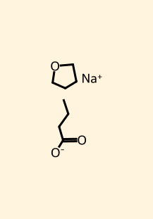 C1CCOC1.CCCC(=O)[O-].[Na+]